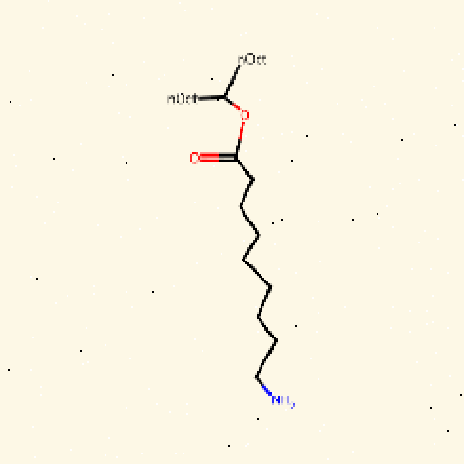 CCCCCCCCC(CCCCCCCC)OC(=O)CCCCCCCCN